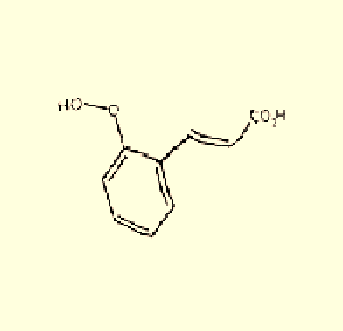 O=C(O)C=Cc1ccccc1OO